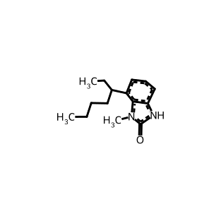 CCCCC(CC)c1cccc2[nH]c(=O)n(C)c12